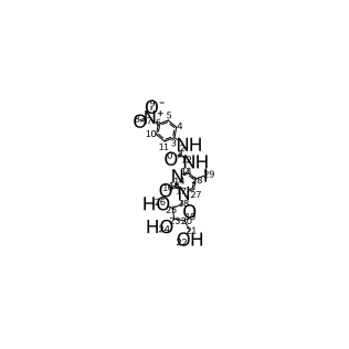 O=C(Nc1ccc([N+](=O)[O-])cc1)Nc1nc(=O)n(C2OC(CO)C(O)C2O)cc1I